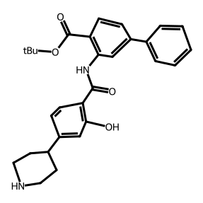 CC(C)(C)OC(=O)c1ccc(-c2ccccc2)cc1NC(=O)c1ccc(C2CCNCC2)cc1O